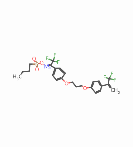 C=C(c1ccc(OCCCOc2ccc(/C(=N/OS(=O)(=O)CCCC)C(F)(F)F)cc2)cc1)C(F)(F)F